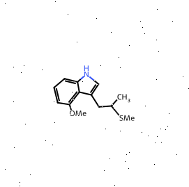 COc1cccc2[nH]cc(CC(C)SC)c12